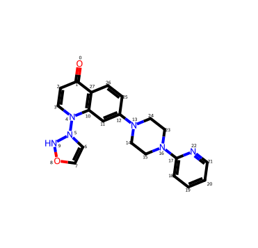 O=c1ccn(N2C=CON2)c2cc(N3CCN(c4ccccn4)CC3)ccc12